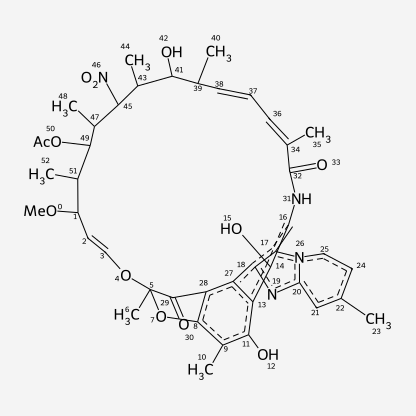 COC1/C=C/OC2(C)Oc3c(C)c(O)c4c(O)c(c5c(nc6cc(C)ccn65)c4c3C2=O)NC(=O)/C(C)=C\C=C\C(C)C(O)C(C)C([N+](=O)[O-])C(C)C(OC(C)=O)C1C